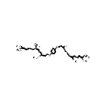 CC(C)=CCCC(C)=CCCC(C)=CCOc1ccc(OCC=C(C)CCC=C(C)CCC=C(C)C)cc1